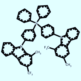 Cc1cc(C(F)(F)F)c2c(c1)c1ccccc1n2-c1ccc([Si](c2ccccc2)(c2ccccc2)c2ccc(-n3c4ccccc4c4cc(C(F)(F)F)cc(C)c43)cc2)cc1